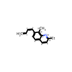 C=C/C=C\c1ccc2ccc(CC)nc2c1C